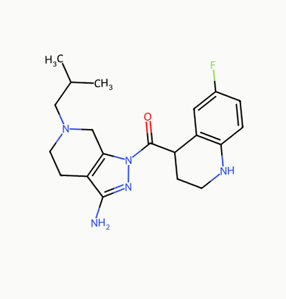 CC(C)CN1CCc2c(N)nn(C(=O)C3CCNc4ccc(F)cc43)c2C1